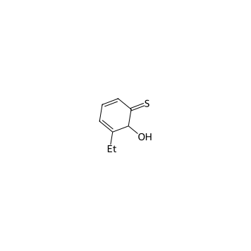 CCC1=CC=CC(=S)C1O